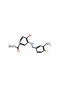 COC(=O)c1ccc(Br)c(NCc2ccc(F)c([N+](=O)[O-])c2)c1